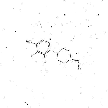 CCO[C@H]1CC[C@H](c2ccc(C#N)c(F)c2F)CC1